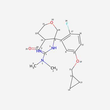 CN(C)C(=N)NC1(c2cc(OCC3CC3)ccc2F)COCCC1C=O